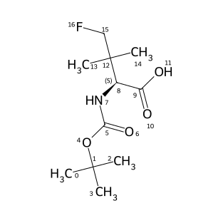 CC(C)(C)OC(=O)N[C@H](C(=O)O)C(C)(C)CF